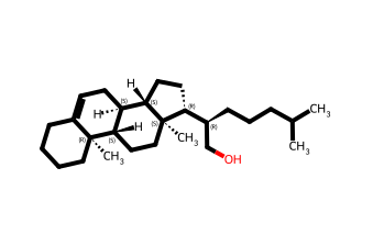 CC(C)CCC[C@@H](CO)[C@H]1CC[C@H]2[C@@H]3CC=C4CCCC[C@]4(C)[C@H]3CC[C@]12C